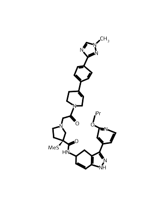 CS[C@@]1(C(=O)NC2C=Cc3[nH]nc(-c4ccnc(OC(C)C)c4)c3C2)CCN(CC(=O)N2CC=C(c3ccc(-c4ncn(C)n4)cc3)CC2)C1